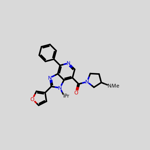 CNC1CCN(C(=O)c2cnc(-c3ccccc3)c3nc(-c4ccoc4)n(C(C)C)c23)C1